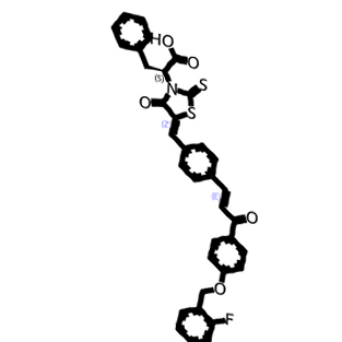 O=C(/C=C/c1ccc(/C=C2\SC(=S)N([C@@H](Cc3ccccc3)C(=O)O)C2=O)cc1)c1ccc(OCc2ccccc2F)cc1